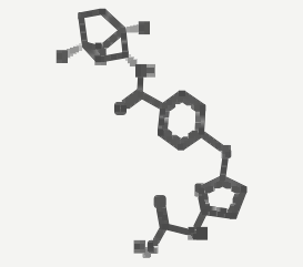 CC(=O)Nc1ccc(Sc2ccc(C(=O)N[C@@H]3C[C@H]4CC[C@@H]3N4)cc2)s1